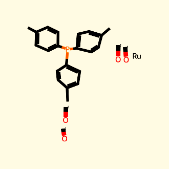 Cc1ccc(P(c2ccc(C)cc2)c2ccc(C)cc2)cc1.[C]=O.[C]=O.[C]=O.[C]=O.[Ru]